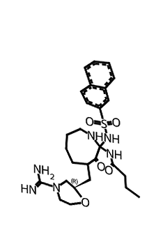 CCCC(=O)NC1(NS(=O)(=O)c2ccc3ccccc3c2)NCCCCC(C[C@@H]2CN(C(=N)N)CCO2)C1=O